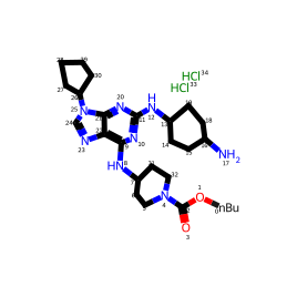 CCCCOC(=O)N1CCC(Nc2nc(NC3CCC(N)CC3)nc3c2ncn3C2CCCC2)CC1.Cl.Cl